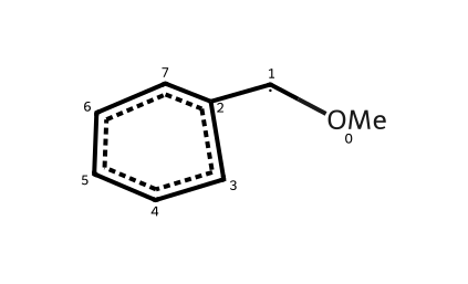 CO[CH]c1ccccc1